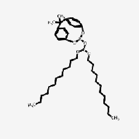 CCCCCCCCCCCCOP(OCCCCCCCCCCCC)OP1Oc2ccc(cc2)C(C)(C)c2ccc(cc2)O1